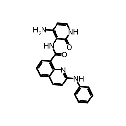 Nc1cc[nH]c(=O)c1NC(=O)c1cccc2ccc(Nc3ccccc3)nc12